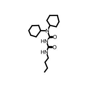 CCCCNC(=O)NC(=O)N(C1CCCCC1)C1CCCCC1